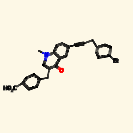 CCc1ccc(CC#Cc2ccc3c(c2)c(=O)c(Cc2ccc(C(=O)O)cc2)cn3C)cc1